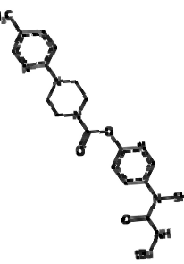 Cc1ccc(N2CCN(C(=O)Oc3ccc(N(S)C(=O)NC(C)(C)C)cn3)CC2)nc1